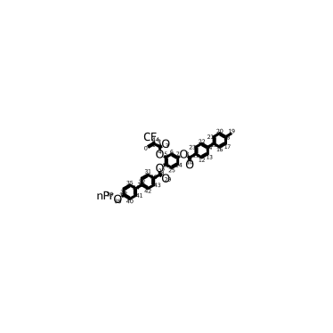 C=C(C(=O)Oc1cc(OC(=O)c2ccc(-c3ccc(C)cc3)cc2)ccc1OC(=O)c1ccc(-c2ccc(OCCC)cc2)cc1)C(F)(F)F